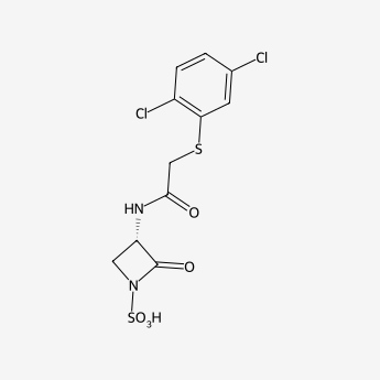 O=C(CSc1cc(Cl)ccc1Cl)N[C@H]1CN(S(=O)(=O)O)C1=O